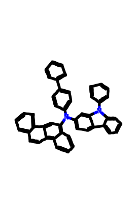 c1ccc(-c2ccc(N(c3ccc4c5ccccc5n(-c5ccccc5)c4c3)c3cc4c5ccccc5ccc4c4ccccc34)cc2)cc1